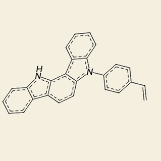 C=Cc1ccc(-n2c3ccccc3c3c4[nH]c5ccccc5c4ccc32)cc1